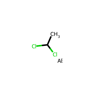 CC(Cl)Cl.[Al]